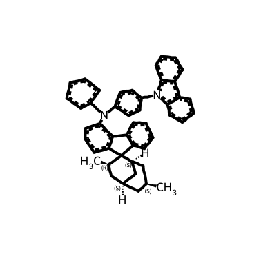 C[C@H]1C[C@@H]2C[C@H](C1)C1(c3ccccc3-c3c(N(c4ccccc4)c4ccc(-n5c6ccccc6c6ccccc65)cc4)cccc31)[C@H](C)C2